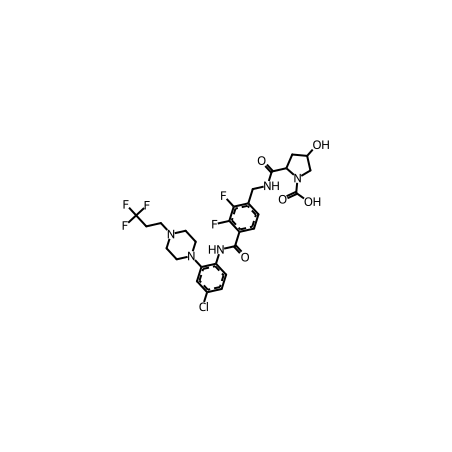 O=C(Nc1ccc(Cl)cc1N1CCN(CCC(F)(F)F)CC1)c1ccc(CNC(=O)C2CC(O)CN2C(=O)O)c(F)c1F